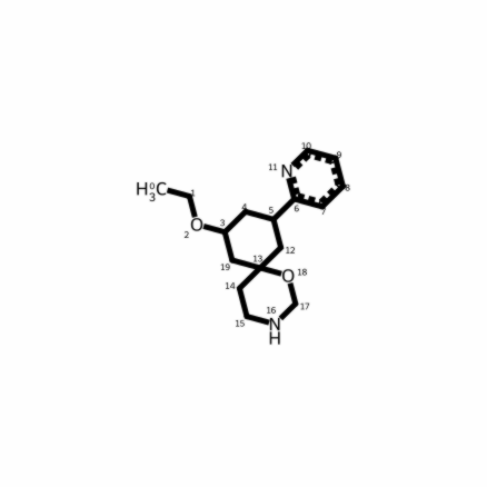 CCOC1CC(c2ccccn2)CC2(CCNCO2)C1